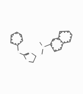 CN(C[C@@H]1COC(Nc2ccccc2)=N1)c1ccc2ccccc2c1